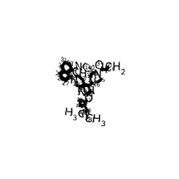 C=CC(=O)N1CCN(c2nc(O[C@@H]3CCC3CN(C)C)nc3c2CCN(c2cccc4cccc(C)c24)C3)C[C@@H]1CC#N